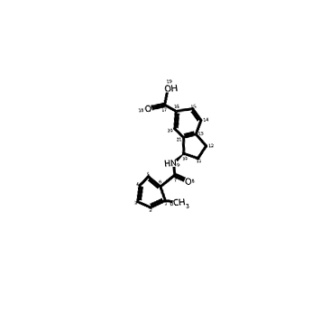 Cc1ccccc1C(=O)N[C@@H]1CCc2ccc(C(=O)O)cc21